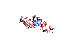 C=CC(=O)OCC(C)OC(=O)NC[C@@]1(C)CC(NC(=O)OC(C)COC(=O)C=C)CC(C)(C)C1